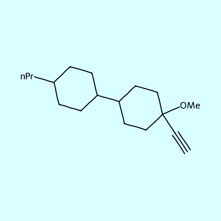 C#CC1(OC)CCC(C2CCC(CCC)CC2)CC1